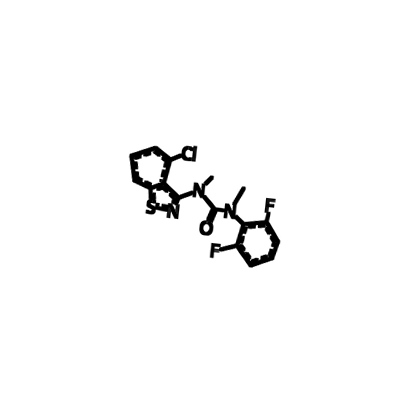 CN(C(=O)N(C)c1nsc2cccc(Cl)c12)c1c(F)cccc1F